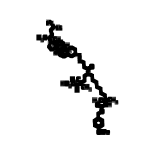 CC[C@H](CC[C@@H](C)[C@H]1CC[C@H]2[C@@H]3CC=C4C[C@@H](SSCCC(=O)N(CCCCCCCC(C)(C)NC(=O)OCc5ccc(OC)cc5)CCC(C)(C)NC(=O)O)CC[C@]4(C)[C@H]3CC[C@]12C)C(C)C